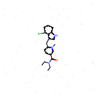 CCN(CC)C(=O)c1ccc(Cc2c[nH]c3cccc(Br)c23)[n+](C)c1